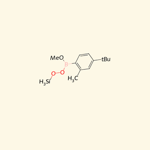 COB(OO[SiH3])c1ccc(C(C)(C)C)cc1C